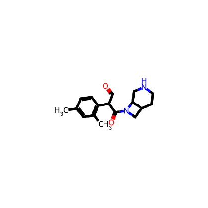 Cc1ccc(C(C=O)C(=O)N2CC3CCNCC32)c(C)c1